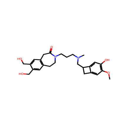 COc1cc2c(cc1O)C(CN(C)CCCN1CCc3cc(CO)c(CO)cc3CC1=O)C2